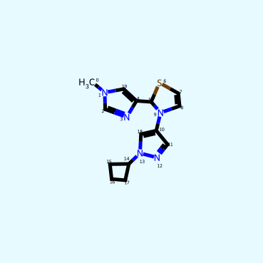 Cn1cnc(C2SC=CN2c2cnn(C3CCC3)c2)c1